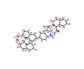 CN1c2ccc(-c3ccc4c5c(ccc4c3)OCOc3ccc4ccccc4c3-5)cc2C(C)(C)C12C=Nc1c(ccc3ccccc13)O2